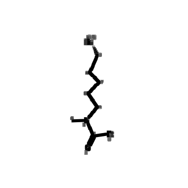 CCC(=O)N(C)CCCCC[C@@H](C)CC